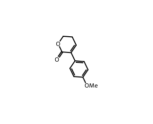 COc1ccc(C2=CCCOC2=O)cc1